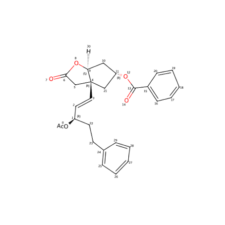 CC(=O)O[C@@H](C=C[C@@]12CC(=O)O[C@H]1C[C@H](OC(=O)c1ccccc1)C2)CCc1ccccc1